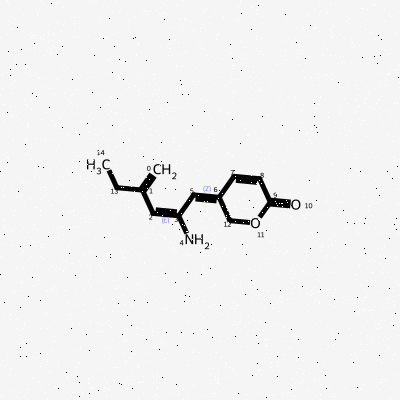 C=C(/C=C(N)\C=C1\C=CC(=O)OC1)CC